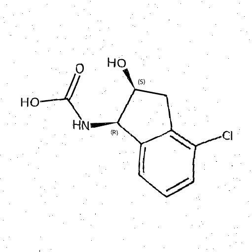 O=C(O)N[C@@H]1c2cccc(Cl)c2C[C@@H]1O